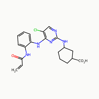 C=CC(=O)Nc1ccccc1Nc1nc(NC2CCCC(C(=O)O)C2)ncc1Cl